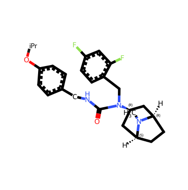 CC(C)Oc1ccc(CNC(=O)N(Cc2ccc(F)cc2F)[C@H]2C[C@H]3CC[C@@H](C2)N3C)cc1